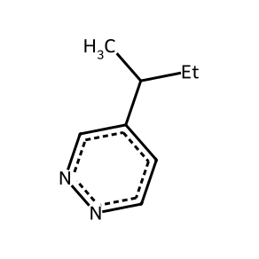 CCC(C)c1ccnnc1